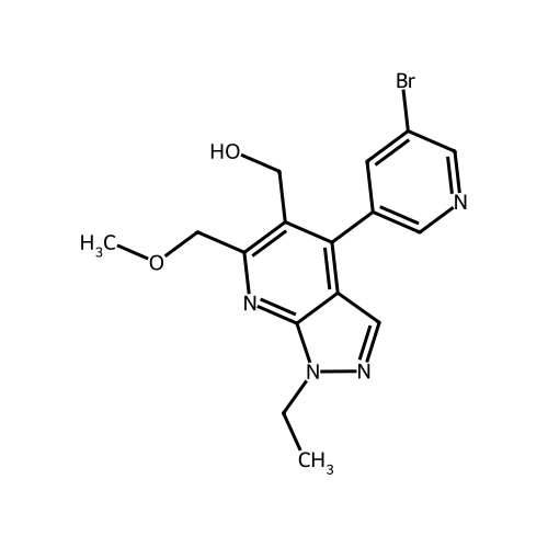 CCn1ncc2c(-c3cncc(Br)c3)c(CO)c(COC)nc21